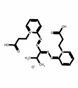 CC(C)C(N=Nc1cccc[n+]1CCC(=O)O)=NN=c1ccccn1CCC(=O)O.[Cl-]